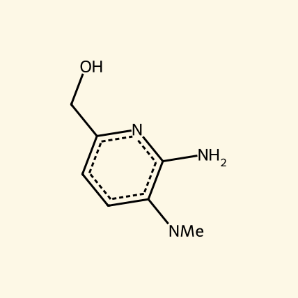 CNc1ccc(CO)nc1N